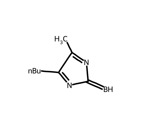 B=C1N=C(C)C(CCCC)=N1